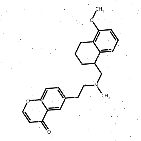 COc1cccc2c1CCCC2CN(C)CCc1ccc2occc(=O)c2c1